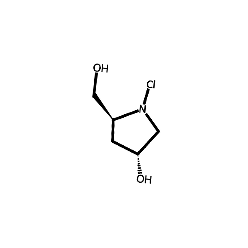 OC[C@@H]1C[C@@H](O)CN1Cl